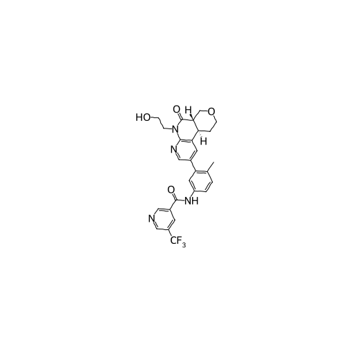 Cc1ccc(NC(=O)c2cncc(C(F)(F)F)c2)cc1-c1cnc2c(c1)[C@@H]1CCOC[C@H]1C(=O)N2CCO